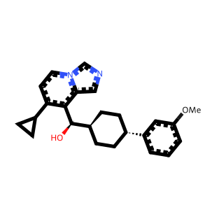 COc1cccc([C@H]2CC[C@H]([C@@H](O)c3c(C4CC4)ccn4cncc34)CC2)c1